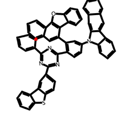 c1ccc(-c2nc(-c3ccc4sc5ccccc5c4c3)nc(-c3ccc(-n4c5ccccc5c5cc6ccccc6cc54)cc3-c3cc4ccccc4c4oc5ccccc5c34)n2)cc1